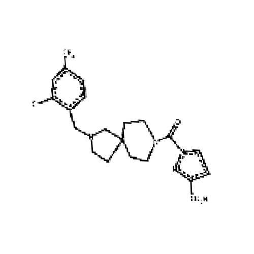 O=C(O)c1ccn(C(=O)N2CCC3(CCN(Cc4ccc(C(F)(F)F)cc4Cl)C3)CC2)n1